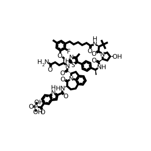 Cc1cc(CCCCCC(=O)N[C@H](C(=O)N2C[C@H](O)C[C@H]2C(=O)N[C@@H](C)c2ccc(-c3scnc3C)cc2)C(C)(C)C)c(F)c(OC[C@H](CCC(N)=O)NC(=O)[C@@H]2Cc3cccc4c3N2C(=O)[C@@H](NC(=O)c2cc3cc(C(=O)P(=O)(O)O)ccc3[nH]2)CC4)c1